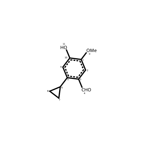 COc1cc(C=O)c(C2CC2)cc1O